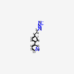 [N-]=[N+]=NCCCc1ccc(-c2cccnc2)cc1